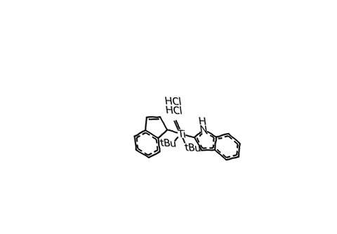 Cl.Cl.[CH2]=[Ti]([c]1cc2ccccc2[nH]1)([CH]1C=Cc2ccccc21)([C](C)(C)C)[C](C)(C)C